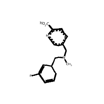 CN(Cc1ccc(C(=O)O)nc1)CC1C=C(F)C=CC1